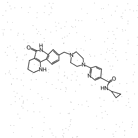 O=C(NC1CC1)c1ccc(N2CCN(Cc3ccc4c5c(c(=O)[nH]c4c3)CCCN5)CC2)nc1